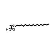 CCCCCCCCCCCCCCCCCCSC(C)C(=O)O